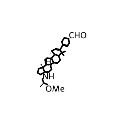 COC[C@@H](C)CN[C@]12CCC[C@]1(C)[C@H]1CCC3[C@@](C)(CCC4C(C)(C)C(C5=CC[C@H](C=O)CC5)=CC[C@@]43C)C1CC2